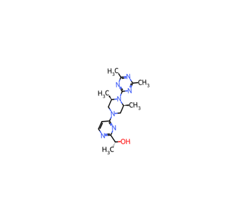 Cc1nc(C)nc(N2[C@H](C)CN(c3ccnc([C@@H](C)O)n3)C[C@@H]2C)n1